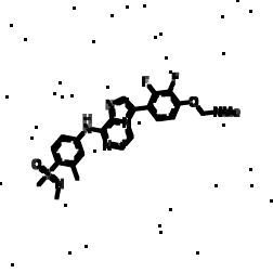 CN=S(C)(=O)c1ccc(Nc2nccn3c(-c4ccc(OCNC)c(F)c4F)cnc23)cc1C